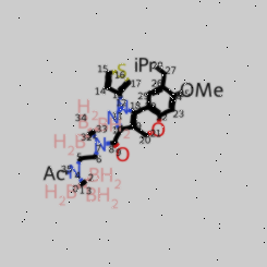 BC(B)(B)N(CCN(C(=O)c1nn(-c2ccsc2)c2c1COc1cc(OC)c(CC(C)C)cc1-2)C(B)(B)B)C(C)=O